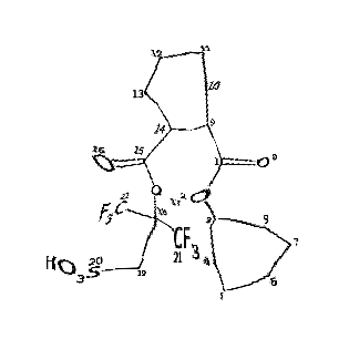 O=C(OC1CCCCC1)C1CCCCC1C(=O)OC(CS(=O)(=O)O)(C(F)(F)F)C(F)(F)F